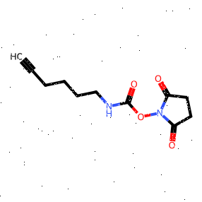 C#CCCCCNC(=O)ON1C(=O)CCC1=O